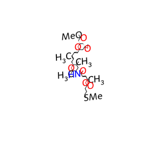 COC(=O)C[C@@H]1C[C@@]2(CO2)C[C@@H](C=CC(C)=CC[C@@H]2O[C@H](C)[C@H](NC(=O)C=CC(C)OC(=O)CCCSC)C[C@@H]2C)O1